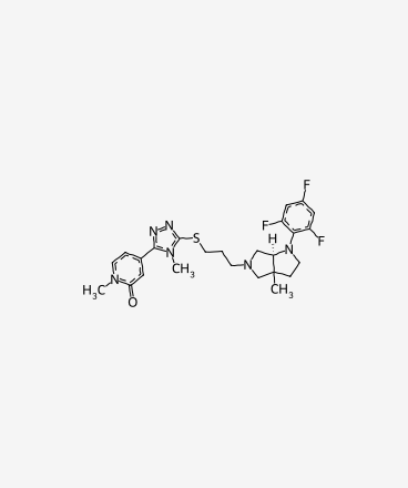 Cn1c(SCCCN2C[C@H]3N(c4c(F)cc(F)cc4F)CCC3(C)C2)nnc1-c1ccn(C)c(=O)c1